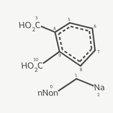 CCCCCCCCC[CH2][Na].O=C(O)c1ccccc1C(=O)O